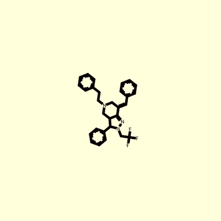 FC(F)(F)CN1N=C2C(=Cc3ccccc3)CN(CCc3ccccc3)CC2C1c1ccccc1